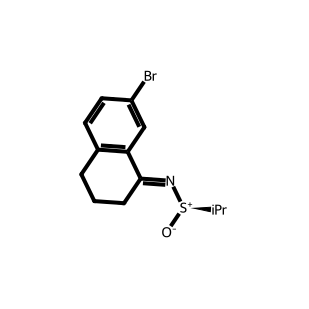 CC(C)[S@@+]([O-])/N=C1\CCCc2ccc(Br)cc21